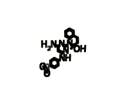 CC1(O)C=Cc2ccccc2N1c1nc(N)cc(Nc2ccc([N+](=O)[O-])cc2)n1